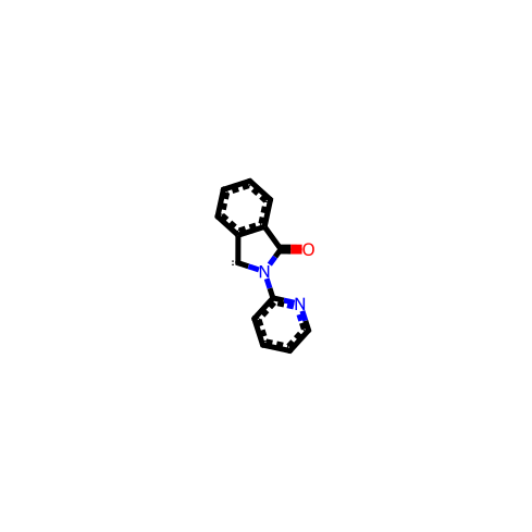 O=C1c2ccccc2[C]N1c1ccccn1